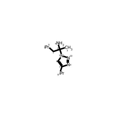 CC(C)CC(C)(N)n1cc(C(C)C)nn1